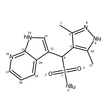 CCCCS(=O)(=O)C(c1c(C)n[nH]c1C)c1c[nH]c2ncccc12